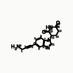 NCC#Cc1ccc2c(c1)ncn2C1CCC(=O)NC1=O